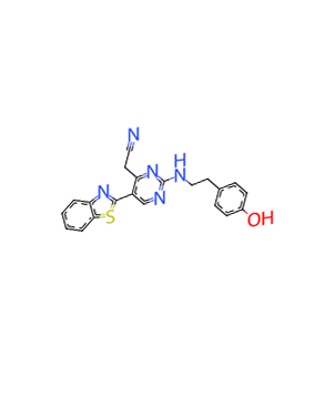 N#CCc1nc(NCCc2ccc(O)cc2)ncc1-c1nc2ccccc2s1